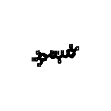 O=C(NCc1ccc(Cl)c(Cl)c1)c1cc(-c2cc(Cl)c(O)c(Cl)c2)n[nH]1